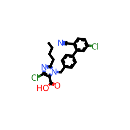 CCCCc1nc(Cl)c(C(=O)O)n1Cc1ccc(-c2cc(Cl)ccc2C#N)cc1